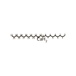 CCCCCCCCCCCCCCCCCCCCCCC.[CaH2]